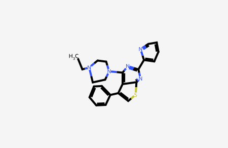 CCN1CCN(c2nc(-c3ccccn3)nc3scc(-c4ccccc4)c23)CC1